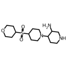 NC1CNCCC1N1CCC(S(=O)(=O)C2CCOCC2)CC1